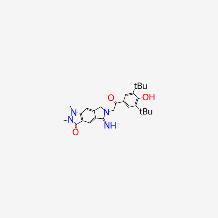 Cn1c(=O)c2cc3c(cc2n1C)CN(CC(=O)c1cc(C(C)(C)C)c(O)c(C(C)(C)C)c1)C3=N